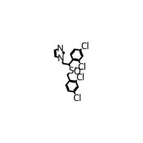 [O-][S+](Cc1ccc(Cl)cc1Cl)C(Cn1ccnc1)c1ccc(Cl)cc1Cl